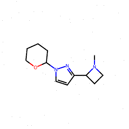 CN1CCC1c1c[c]n(C2CCCCO2)n1